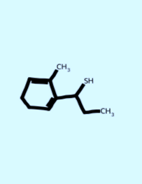 CCC(S)C1=CCCC=C1C